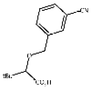 CC(C)(C)C(OCc1cccc(C#N)c1)C(=O)O